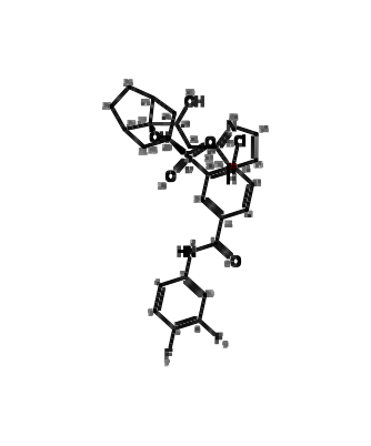 O=C(Nc1ccc(F)c(F)c1)c1ccc(Cl)c(S(=O)(=O)[C@H]2CC3CCC(C2)[C@]3(O)C(O)Cc2ncc[nH]2)c1